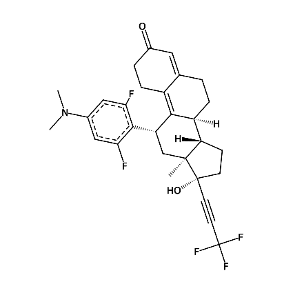 CN(C)c1cc(F)c([C@H]2C[C@@]3(C)[C@@H](CC[C@@]3(O)C#CC(F)(F)F)[C@@H]3CCC4=CC(=O)CCC4=C32)c(F)c1